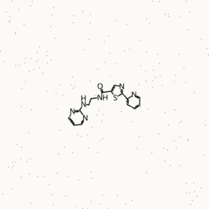 O=C(NCCNc1ncccn1)c1cnc(-c2ccccn2)s1